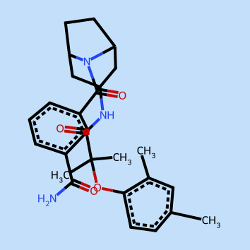 Cc1ccc(OC(C)(C)C(=O)NC2CC3CCC(C2)N3C(=O)c2cccc(C(N)=O)c2)c(C)c1